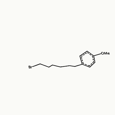 COc1ccc(CCCCCCBr)cc1